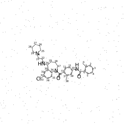 Cc1ccccc1C(=O)Nc1ccc(C(=O)N2CCCC(NCCN3CCCCC3)c3cc(Cl)ccc32)c(C)c1